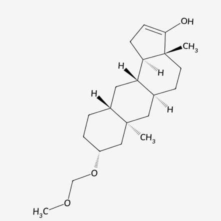 COCO[C@@H]1CC[C@@H]2C[C@H]3[C@@H](CC[C@@]4(C)C(O)=CC[C@H]34)C[C@@]2(C)C1